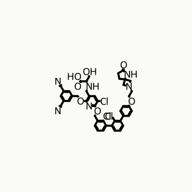 N#Cc1cc(C#N)cc(COc2nc(OCc3cccc(-c4cccc(-c5ccc(OCCN6CC7(CCC(=O)N7)C6)cc5)c4Cl)c3Cl)c(Cl)cc2CNC(CO)C(=O)O)c1